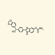 NC(=O)Oc1ccc2[nH]c(-c3ccc(C(O)c4ccc5c(c4)OCO5)cc3)nc2c1